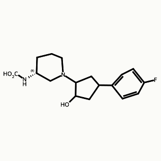 O=C(O)N[C@@H]1CCCN(C2CC(c3ccc(F)cc3)CC2O)C1